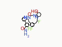 NC(=O)c1cc(-c2cccnc2[C@@H]2Cc3cc(F)cc(c3)CC(F)c3nn(c4c3CCCC4O)CC(=O)N2)ccc1F